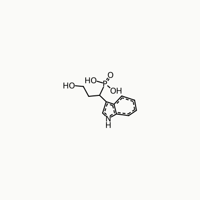 O=P(O)(O)C(CCO)c1c[nH]c2ccccc12